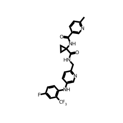 Cc1ccc(C(=O)NC2(C(=O)NCc3ccc(Nc4ccc(F)cc4C(F)(F)F)cn3)CC2)cn1